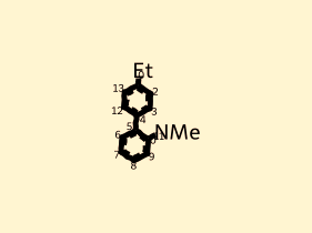 CCc1ccc(-c2ccccc2NC)cc1